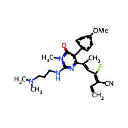 C=C/C(C#N)=C(F)\C=C(/C)c1nc(NCCCN(C)C)n(C)c(=O)c1-c1ccc(OC)cc1